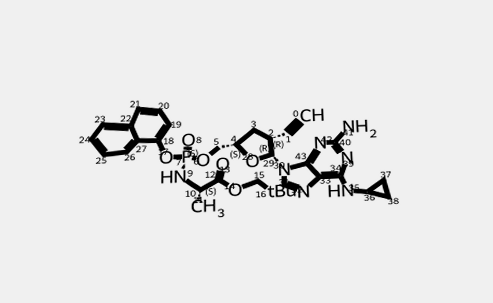 C#C[C@H]1C[C@@H](CO[P@@](=O)(N[C@@H](C)C(=O)OCC(C)(C)C)Oc2cccc3ccccc23)O[C@H]1n1cnc2c(NC3CC3)nc(N)nc21